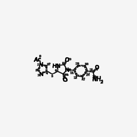 CC(=O)n1cnc(CC2NC(=O)N(c3ccc(C(N)=O)cc3)C2=O)c1